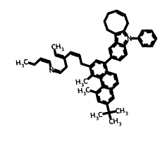 C/C=C(\C=C/Cc1cc(-c2ccc3c(c2)c2c(n3-c3ccccc3)C/C=C\CCC2)c2ccc3cc(C(C)(C)C)cc(C)c3c2c1C)C/C=N\C=C/CC